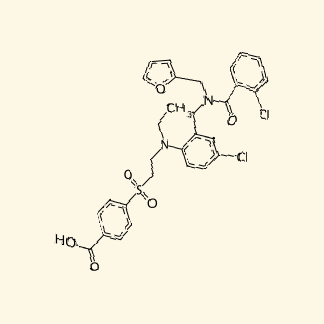 CCN(CCS(=O)(=O)c1ccc(C(=O)O)cc1)c1ccc(Cl)cc1CN(Cc1ccco1)C(=O)c1ccccc1Cl